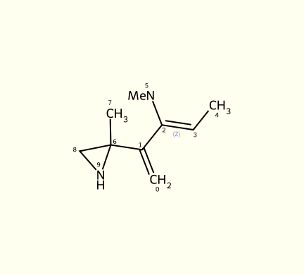 C=C(/C(=C/C)NC)C1(C)CN1